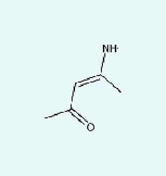 CC(=O)/C=C(\C)[NH]